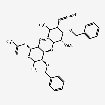 CO[C@@H]1C(O[C@@H]2C(OC(C)=O)[C@H](OC(=N)C(Cl)(Cl)Cl)OC(C)[C@@H]2OCc2ccccc2)OC(C)[C@@H](N=[N+]=[N-])[C@@H]1OCc1ccccc1